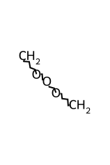 C=CCCCOCCOCCOCCCC=C